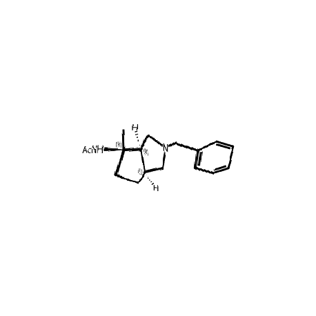 CC(=O)N[C@]1(C)CC[C@@H]2CN(Cc3ccccc3)C[C@@H]21